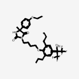 CCCc1cc(C(O)(C(F)(F)F)C(F)(F)F)cc(CCC)c1OCCCCN1C(=O)NC(C)(c2ccc(OCC)cc2)C1=O